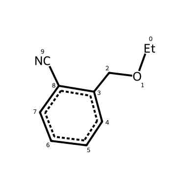 [CH2]COCc1ccccc1C#N